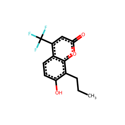 CCCc1c(O)ccc2c(C(F)(F)F)cc(=O)oc12